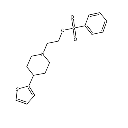 O=S(=O)(OCCN1CCC(c2cccs2)CC1)c1ccccc1